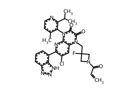 C=CC(=O)N1CC(F)(Cn2c(=O)c(=O)n(-c3c(C)ccnc3C(C)C)c3nc(-c4cccc5nn[nH]c45)c(Cl)cc32)C1